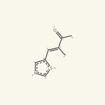 CC(=O)/C(C)=C/c1cncs1